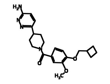 COc1cc(C(=O)N2CCC(c3ccc(N)nn3)CC2)ccc1OCC1CCC1